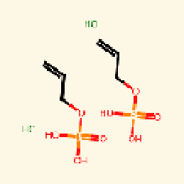 C=CCOP(=O)(O)O.C=CCOP(=O)(O)O.Cl.Cl